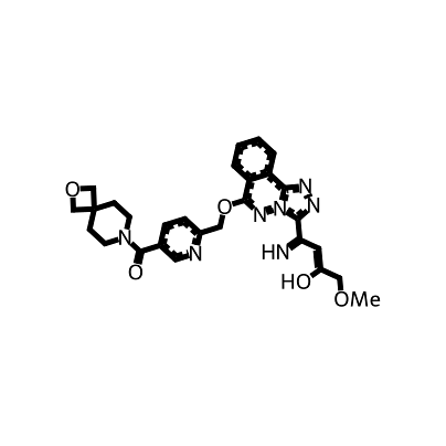 COC/C(O)=C/C(=N)c1nnc2c3ccccc3c(OCc3ccc(C(=O)N4CCC5(CC4)COC5)cn3)nn12